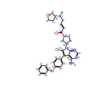 CN(C/C=C/C(=O)N1CC[C@@H](n2c(Cl)c(-c3ccc(Oc4ccccc4)cc3)c3c(N)ncnc32)C1)[C@@H]1CCOC1